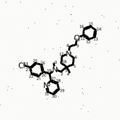 CN(CC1(C)CCN(CCOc2ccccc2)CC1)C(c1ccc(Cl)cc1)c1ccccn1